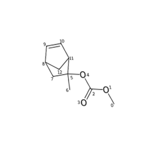 COC(=O)OC1(C)CC2C=CC1C2